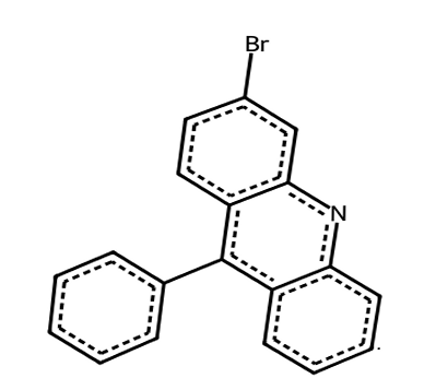 Brc1ccc2c(-c3ccccc3)c3cc[c]cc3nc2c1